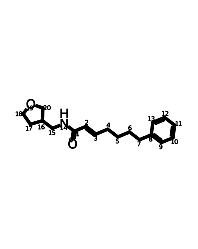 O=C(C=CCCCCc1ccccc1)NCC1CCOC1